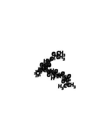 CC(C)C(=O)COCNC(=O)CNC(=O)[C@H](Cc1ccccc1)NC(=O)CNC(=O)CNC(=O)CCNC(=O)CCN1C(=O)CC(C(C)C)C1=O